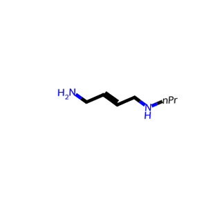 CCCNCC=CCN